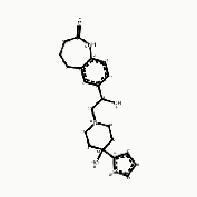 O=C1CCCc2cc(C(O)CN3CCC(O)(c4cccs4)CC3)ccc2N1